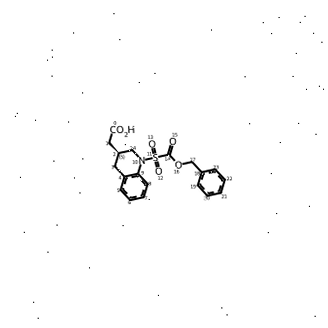 O=C(O)C[C@@H]1Cc2ccccc2N(S(=O)(=O)C(=O)OCc2ccccc2)C1